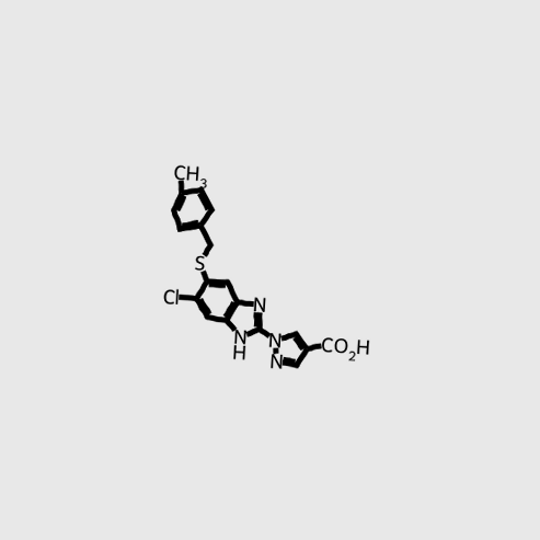 Cc1ccc(CSc2cc3nc(-n4cc(C(=O)O)cn4)[nH]c3cc2Cl)cc1